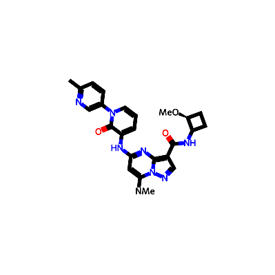 CNc1cc(Nc2cccn(-c3ccc(C)nc3)c2=O)nc2c(C(=O)NC3CC[C@@H]3OC)cnn12